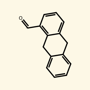 O=[C]c1cccc2c1Cc1ccccc1C2